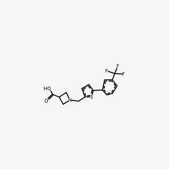 O=C(O)C1CN(Cc2ccc(-c3cccc(C(F)(F)F)c3)s2)C1